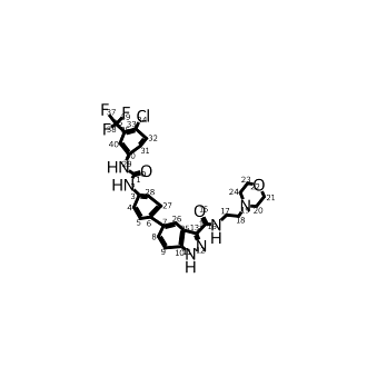 O=C(Nc1ccc(-c2ccc3[nH]nc(C(=O)NCCN4CCOCC4)c3c2)cc1)Nc1ccc(Cl)c(C(F)(F)F)c1